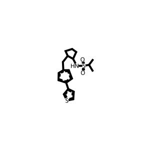 CC(C)S(=O)(=O)NC1CCCC1Cc1ccc(-c2ccsc2)cc1